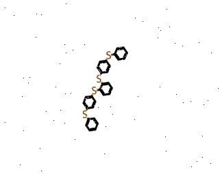 c1ccc(Sc2ccc(Sc3ccccc3Sc3ccc(Sc4ccccc4)cc3)cc2)cc1